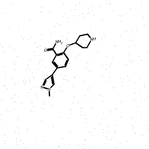 Cn1cc(-c2ccc(OC3CCNCC3)c(C(N)=O)c2)cn1